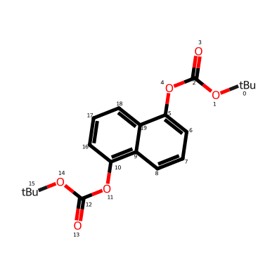 CC(C)(C)OC(=O)Oc1cccc2c(OC(=O)OC(C)(C)C)cccc12